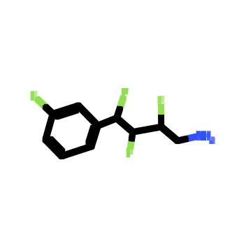 NCC(F)C(F)C(F)c1cccc(F)c1